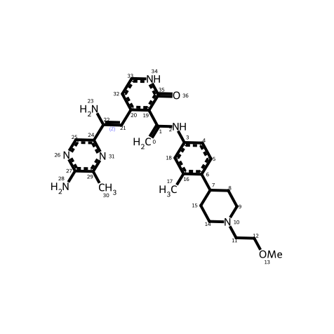 C=C(Nc1ccc(C2CCN(CCOC)CC2)c(C)c1)c1c(/C=C(\N)c2cnc(N)c(C)n2)cc[nH]c1=O